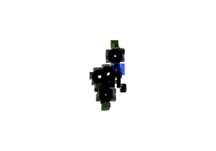 C[C@]12Cc3cnn(-c4ccc(F)cc4)c3C=C1CCC[C@]2(F)Cc1ccc(F)cc1